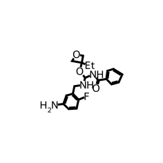 CCC1(OC(NCc2cc(N)ccc2F)NC(=O)c2ccccc2)COC1